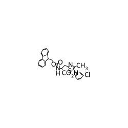 Cc1nc(C[C@H](NC(=O)OCC2c3ccccc3-c3ccccc32)C(=O)O)sc1-c1cccc(Cl)c1